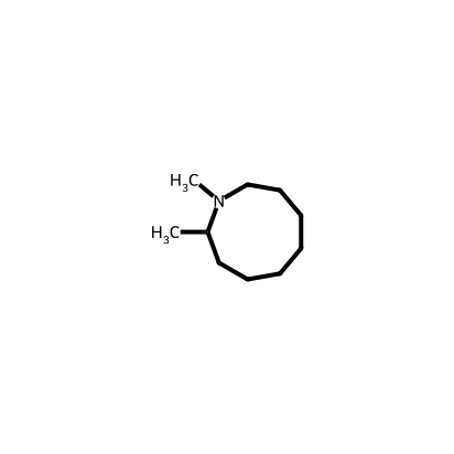 CC1CCCCCCCN1C